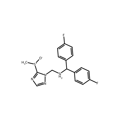 C[S+]([O-])c1ncnn1C[SiH2]C(c1ccc(F)cc1)c1ccc(F)cc1